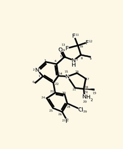 Cc1ncc(C(=O)NC(C)C(F)(F)F)c(N2CC[C@](C)(N)C2)c1-c1ccc(F)c(Cl)c1